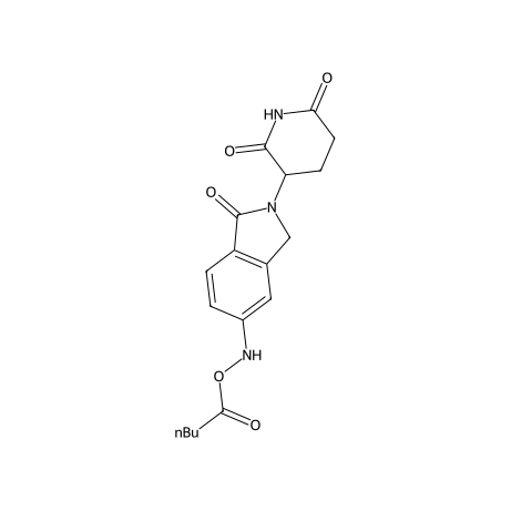 CCCCC(=O)ONc1ccc2c(c1)CN(C1CCC(=O)NC1=O)C2=O